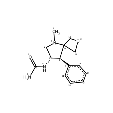 CN1C[C@@H](NC(N)=O)[C@H](c2ccccc2)C12COC2